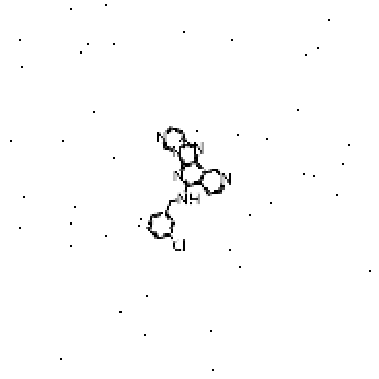 Clc1cccc(CNc2nc3c(nc4ccncn43)c3cnccc23)c1